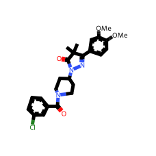 COc1ccc(C2=NN(C3CCN(C(=O)c4cccc(Cl)c4)CC3)C(=O)C2(C)C)cc1OC